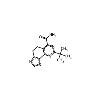 CC(C)(C)c1nc(C(N)=O)c2c(n1)-c1s[c]nc1CC2